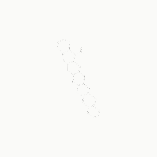 NC(=O)c1c2ccccc2cc2cc3cc4cc5cc6ccccc6cc5cc4cc3cc12